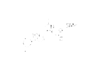 CSCOC(=O)Cn1nc(C)cc1-c1ccc(-c2cccc(C)c2)[nH]1